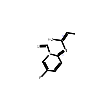 C/C=C(O)\N=c1\ccc(F)cn1C=O